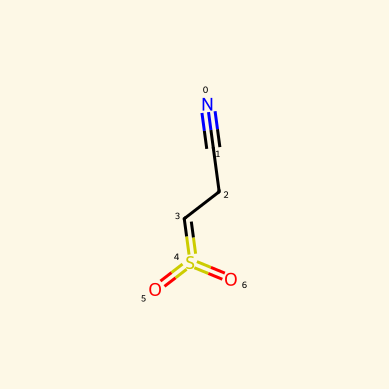 N#CCC=S(=O)=O